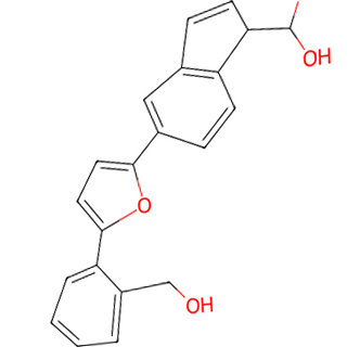 OCc1ccccc1-c1ccc(-c2ccc3c(c2)C=CC3C(O)O)o1